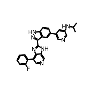 CC(C)Nc1cncc(-c2ccc3[nH]nc(-c4nc5c(-c6ccccc6F)cncc5[nH]4)c3c2)c1